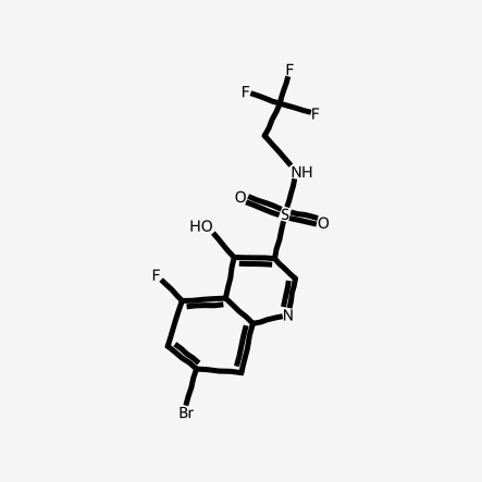 O=S(=O)(NCC(F)(F)F)c1cnc2cc(Br)cc(F)c2c1O